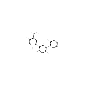 Cc1ccccc1-c1cc(-c2cc(C(C)C)c(C)c[n+]2C)c(C)cc1C